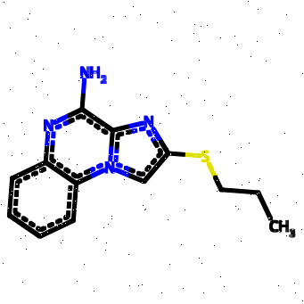 CCCSc1cn2c(n1)c(N)nc1ccccc12